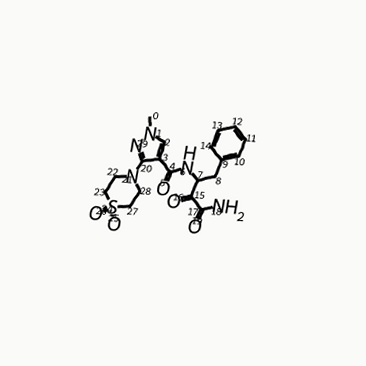 Cn1cc(C(=O)NC(Cc2ccccc2)C(=O)C(N)=O)c(N2CCS(=O)(=O)CC2)n1